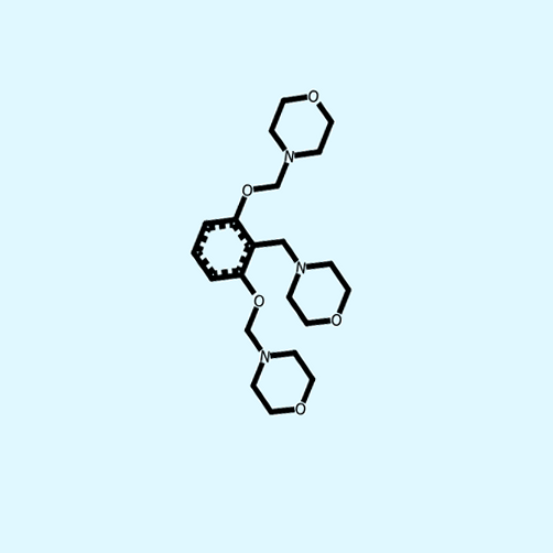 c1cc(OCN2CCOCC2)c(CN2CCOCC2)c(OCN2CCOCC2)c1